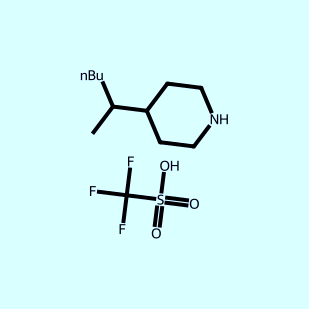 CCCCC(C)C1CCNCC1.O=S(=O)(O)C(F)(F)F